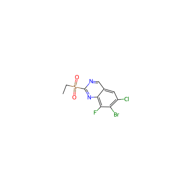 CCS(=O)(=O)c1ncc2cc(Cl)c(Br)c(F)c2n1